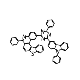 c1ccc(-c2nc(-c3ccc4nc(-c5ccccc5)c5ccc6sc7ccccc7c6c5c4c3)nc(-c3ccc4c(c3)c3ccccc3n4-c3ccccc3)n2)cc1